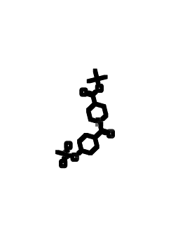 CC(C)(C)OC(=O)C1CCN(C(=O)C2CCC(OS(C)(=O)=O)CC2)CC1